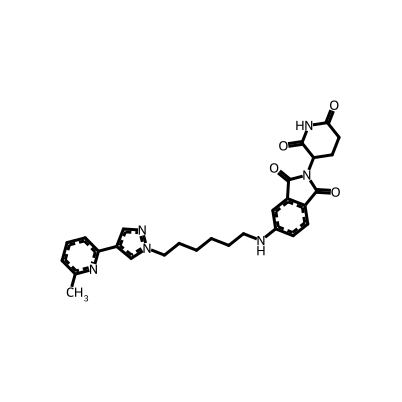 Cc1cccc(-c2cnn(CCCCCCNc3ccc4c(c3)C(=O)N(C3CCC(=O)NC3=O)C4=O)c2)n1